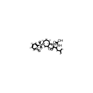 CC(C)CC(NC(=O)O)C(=O)NC1CCCN(S(=O)(=O)c2cccc[n+]2[O-])CC1O